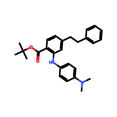 CN(C)c1ccc(Nc2cc(CCc3ccccc3)ccc2C(=O)OC(C)(C)C)cc1